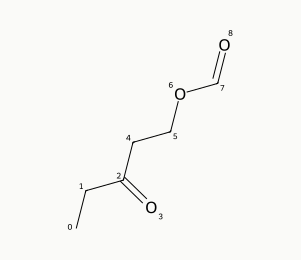 CCC(=O)CCOC=O